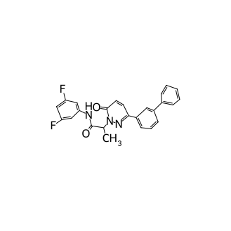 CC(C(=O)Nc1cc(F)cc(F)c1)n1nc(-c2cccc(-c3ccccc3)c2)ccc1=O